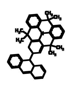 CC1(C)C2=CC(C3c4ccccc4C=C4C=CC=CC43)CC3=C2N2c4c1cccc4C(C)(C)c1cccc(c12)C3(C)C